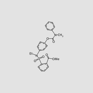 CCN(c1ccc(OC(=O)N(C)c2ccccc2)cc1)S(=O)(=O)c1ccccc1C(=O)OC